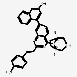 Nc1ccc(CCc2nc(N3[C@@H]4CC[C@H]3CNC4)c3ccc(-c4cc(O)cc5ccccc45)cc3n2)cc1